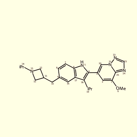 COc1cc(-c2[nH]c3ccc(CC4CN(C(C)C)C4)cc3c2C(C)C)cn2ncnc12